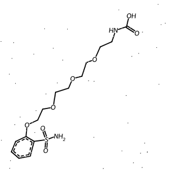 NS(=O)(=O)c1ccccc1OCCOCCOCCOCCNC(=O)O